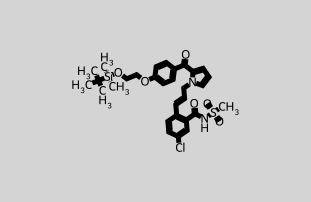 CC(C)(C)[Si](C)(C)OCCOc1ccc(C(=O)c2cccn2CC=Cc2ccc(Cl)cc2C(=O)NS(C)(=O)=O)cc1